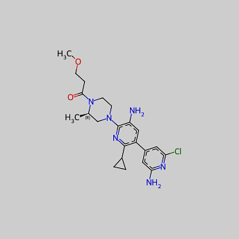 COCCC(=O)N1CCN(c2nc(C3CC3)c(-c3cc(N)nc(Cl)c3)cc2N)C[C@H]1C